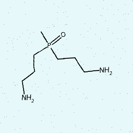 CP(=O)(CCCN)CCCN